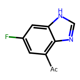 CC(=O)c1cc(F)cc2[nH]cnc12